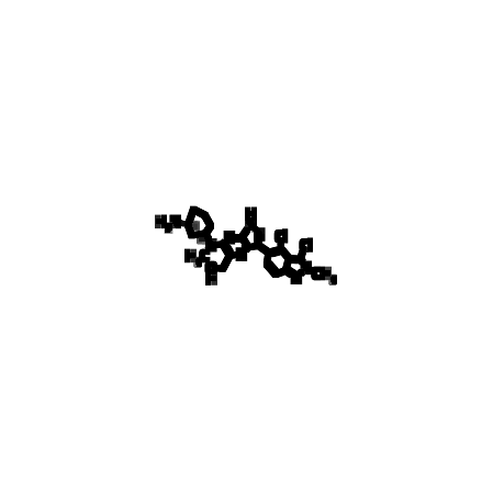 CN(c1nc2[nH]nc(-c3ccc4nn(C)c(Cl)c4c3Cl)c2nc1CO)[C@@H]1CCC[C@@H](N)C1